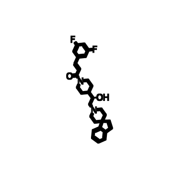 O=C(/C=C/c1cc(F)cc(F)c1)N1CCC([C@H](O)CN2CCC3(C=Cc4ccccc43)CC2)CC1